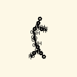 O=C(CCNC(=O)c1ccc(CN(C(=O)Nc2cccc(OC(F)(F)F)c2)c2ccc(C3=CCCCC3)cc2)cc1)OC(=O)CCNC(=O)c1ccc(CN(C(=O)Nc2cccc(OC(F)(F)F)c2)c2ccc(C3CCCCC3)cc2)cc1